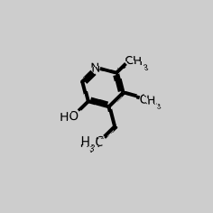 CCc1c(O)cnc(C)c1C